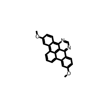 COc1ccc2c(c1)c1cccc3c4cc(OC)ccc4c4ncnc2c4c13